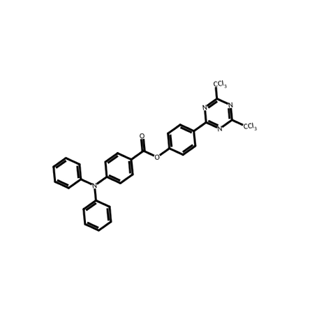 O=C(Oc1ccc(-c2nc(C(Cl)(Cl)Cl)nc(C(Cl)(Cl)Cl)n2)cc1)c1ccc(N(c2ccccc2)c2ccccc2)cc1